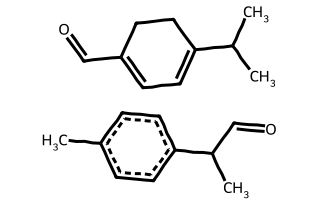 CC(C)C1=CC=C(C=O)CC1.Cc1ccc(C(C)C=O)cc1